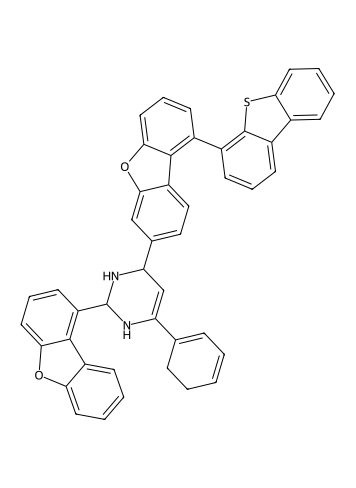 C1=CCCC(C2=CC(c3ccc4c(c3)oc3cccc(-c5cccc6c5sc5ccccc56)c34)NC(c3cccc4oc5ccccc5c34)N2)=C1